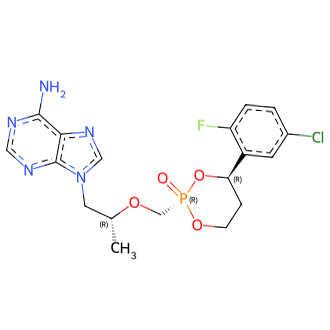 C[C@H](Cn1cnc2c(N)ncnc21)OC[P@@]1(=O)OCC[C@H](c2cc(Cl)ccc2F)O1